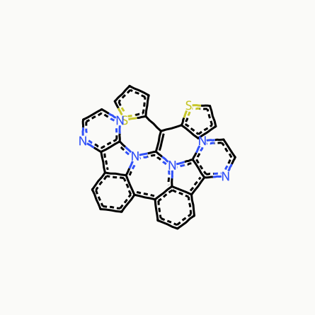 c1csc(C(c2cccs2)=c2n3c4nccnc4c4cccc(c5cccc6c7nccnc7n2c56)c43)c1